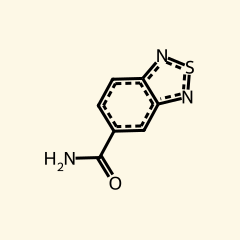 NC(=O)c1ccc2nsnc2c1